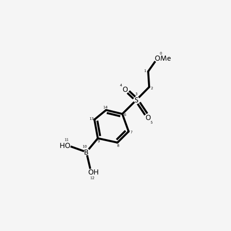 COCCS(=O)(=O)c1ccc(B(O)O)cc1